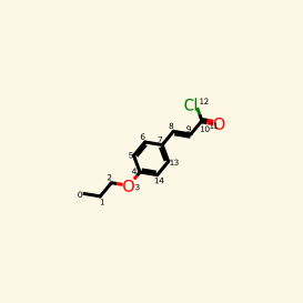 CCCOc1ccc(/C=C/C(=O)Cl)cc1